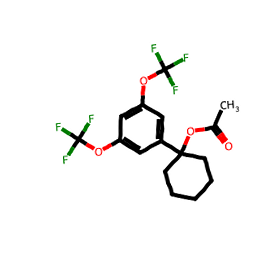 CC(=O)OC1(c2cc(OC(F)(F)F)cc(OC(F)(F)F)c2)CCCCC1